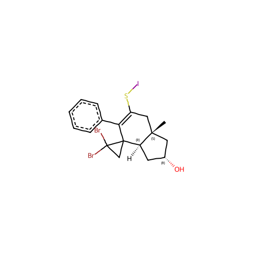 C[C@]12CC(SI)=C(c3ccccc3)C3(CC3(Br)Br)[C@@H]1C[C@@H](O)C2